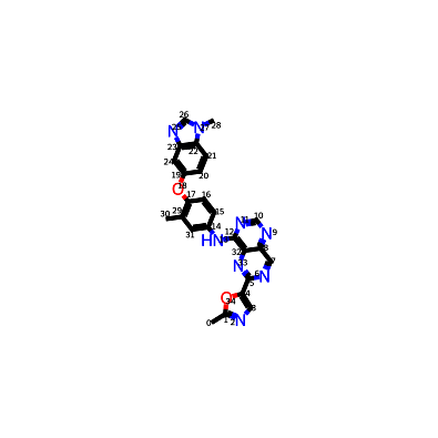 Cc1ncc(-c2ncc3ncnc(Nc4ccc(Oc5ccc6c(c5)ncn6C)c(C)c4)c3n2)o1